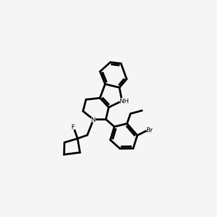 CCc1c(Br)cccc1C1c2[nH]c3ccccc3c2CCN1CC1(F)CCC1